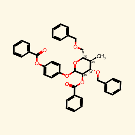 C[C@H]1[C@H](OCc2ccccc2)[C@@H](OC(=O)c2ccccc2)C(Oc2ccc(OC(=O)c3ccccc3)cc2)O[C@@H]1COCc1ccccc1